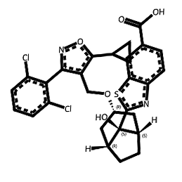 O=C(O)c1ccc2nc([C@@]3(O)[C@@H]4CC[C@H]3C[C@@H](OCc3c(-c5c(Cl)cccc5Cl)noc3C3CC3)C4)sc2c1